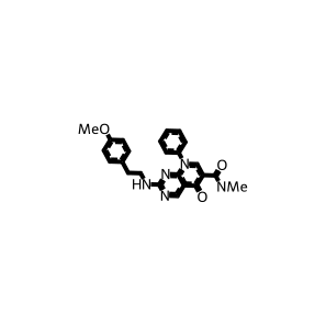 CNC(=O)c1cn(-c2ccccc2)c2nc(NCCc3ccc(OC)cc3)ncc2c1=O